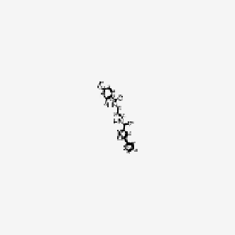 COc1ccc(C(=O)NCCCNC(=O)c2cc(-c3cccs3)on2)c(C)n1